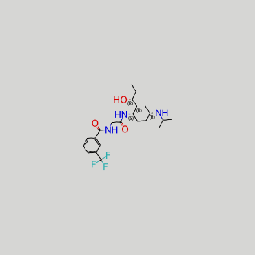 CC[C@@H](O)[C@@H]1C[C@H](NC(C)C)CC[C@@H]1NC(=O)CNC(=O)c1cccc(C(F)(F)F)c1